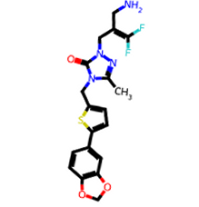 Cc1nn(CC(CN)=C(F)F)c(=O)n1Cc1ccc(-c2ccc3c(c2)OCO3)s1